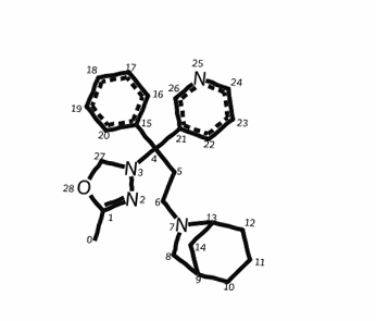 CC1=NN(C(CCN2CC3CCCC2C3)(c2ccccc2)c2cccnc2)CO1